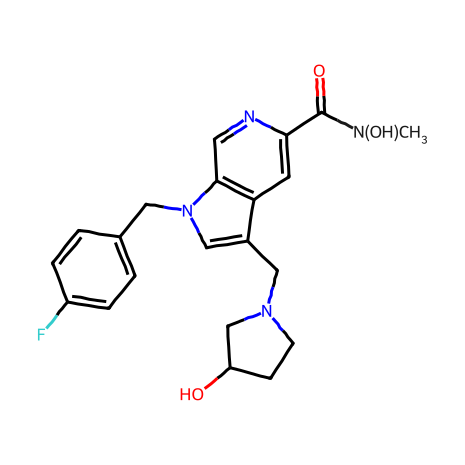 CN(O)C(=O)c1cc2c(CN3CCC(O)C3)cn(Cc3ccc(F)cc3)c2cn1